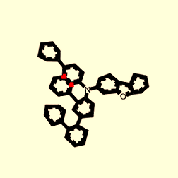 c1ccc(-c2ccc(N(c3ccc4c(c3)oc3ccccc34)c3ccc(-c4ccccc4-c4ccccc4)cc3-c3ccccc3)cc2)cc1